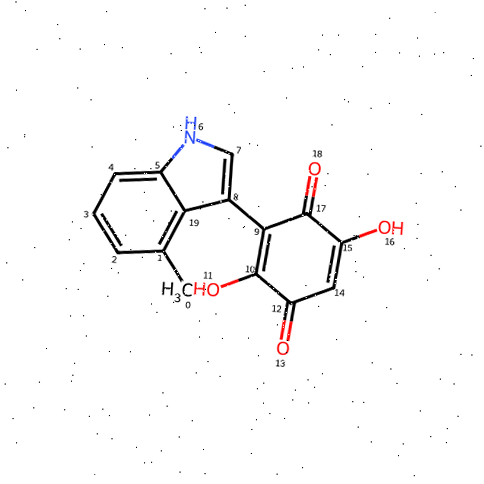 Cc1cccc2[nH]cc(C3=C(O)C(=O)C=C(O)C3=O)c12